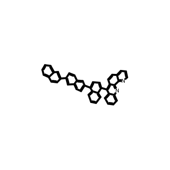 c1ccc2cc(-c3ccc4cc(-c5ccc(-c6c7ccccc7nc7c6ccc6cccnc67)c6ccccc56)ccc4c3)ccc2c1